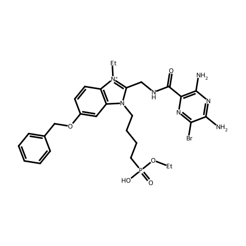 CCOP(=O)(O)CCCCn1c(CNC(=O)c2nc(Br)c(N)nc2N)[n+](CC)c2ccc(OCc3ccccc3)cc21